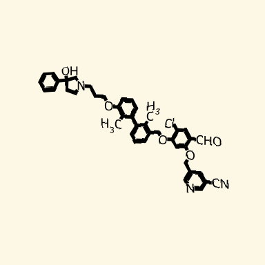 Cc1c(COc2cc(OCc3cncc(C#N)c3)c(C=O)cc2Cl)cccc1-c1cccc(OCCCN2CCC(O)(c3ccccc3)C2)c1C